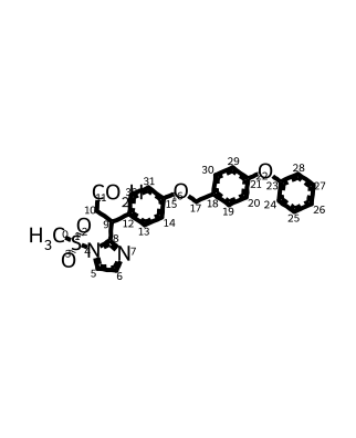 CS(=O)(=O)n1ccnc1C(CC(=O)O)c1ccc(OCc2ccc(Oc3ccccc3)cc2)cc1